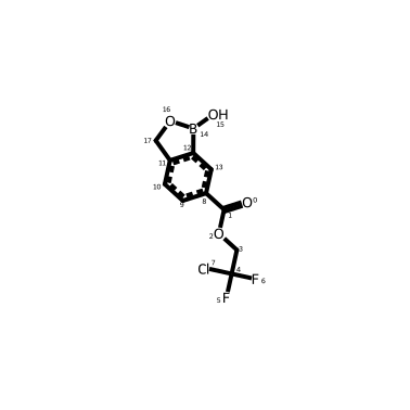 O=C(OCC(F)(F)Cl)c1ccc2c(c1)B(O)OC2